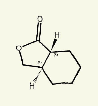 O=C1OC[C@@H]2CCCC[C@@H]12